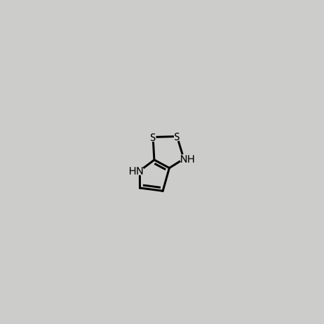 c1cc2c([nH]1)SSN2